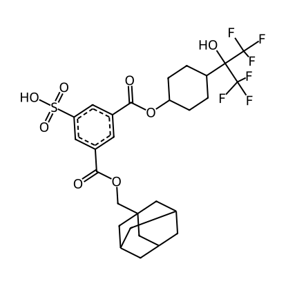 O=C(OCC12CC3CC(CC(C3)C1)C2)c1cc(C(=O)OC2CCC(C(O)(C(F)(F)F)C(F)(F)F)CC2)cc(S(=O)(=O)O)c1